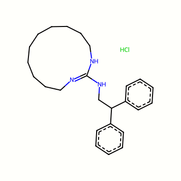 Cl.c1ccc(C(CN/C2=N\CCCCCCCCCCN2)c2ccccc2)cc1